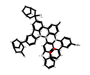 CCCCc1ccc(N2c3cc4c(cc3B3c5c(cc(C)cc52)-c2cc(C5(CC)CC6CCC(C6)C5)cc5c6cc(C78CC=C(CC(C)C7)C8)ccc6n3c25)oc2ccccc24)c(-c2ccccc2)c1